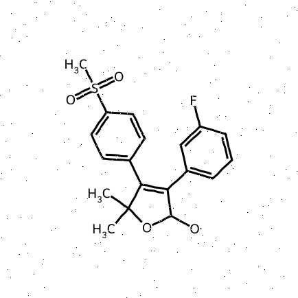 CC1(C)OC([O])C(c2cccc(F)c2)=C1c1ccc(S(C)(=O)=O)cc1